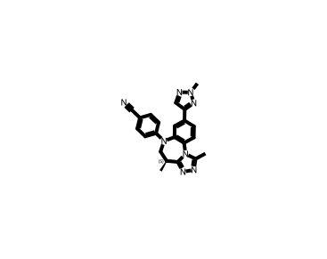 Cc1nnc2n1-c1ccc(-c3cnn(C)n3)cc1N(c1ccc(C#N)cc1)C[C@@H]2C